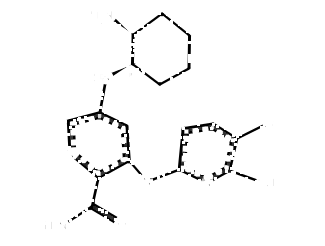 Cc1nc(Nc2cc(N[C@@H]3CCCC[C@@H]3N)cnc2C(N)=O)ccc1Br